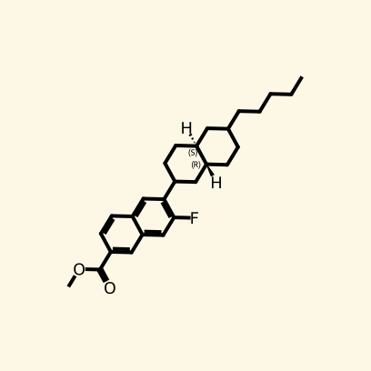 CCCCCC1CC[C@@H]2CC(c3cc4ccc(C(=O)OC)cc4cc3F)CC[C@H]2C1